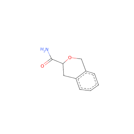 NC(=O)C1Cc2ccccc2CO1